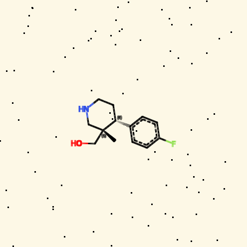 C[C@@]1(CO)CNCC[C@@H]1c1ccc(F)cc1